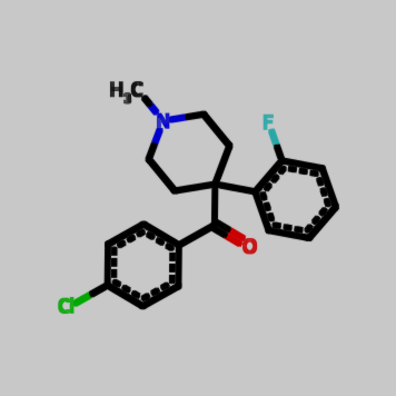 CN1CCC(C(=O)c2ccc(Cl)cc2)(c2ccccc2F)CC1